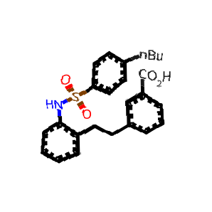 CCCCc1ccc(S(=O)(=O)Nc2ccccc2CCc2cccc(C(=O)O)c2)cc1